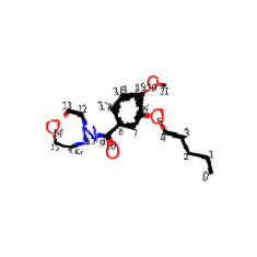 CCCCCOc1cc(C(=O)N2CCOCC2)ccc1OC